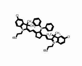 CC(C)(C)CCN1/C(=C/C=C2\CCC(/C=C/C3=[N+](CCC(C)(C)C)c4ccc(Cl)cc4C3(C)C)=C2N(c2ccccc2)c2ccccc2)C(C)(C)c2cc(Cl)ccc21